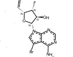 C=C[C@H]1O[C@@H](n2cc(Br)c3c(N)ncnc32)[C@H](O)[C@H]1F